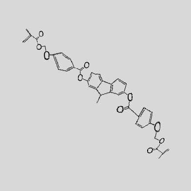 C=C(C)C(=O)OCOc1ccc(C(=O)Oc2ccc3c(c2)C(C)c2cc(OC(=O)c4ccc(OCOC(=O)C(=C)C)cc4)ccc2-3)cc1